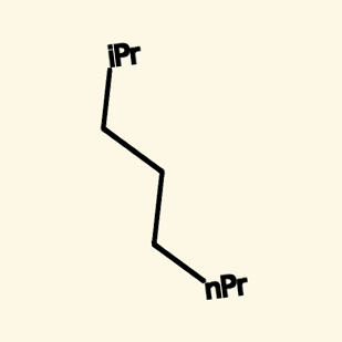 [CH]CCCCCC(C)C